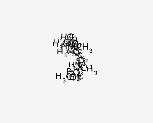 COc1c(F)cc(C(C)Nc2cccc(-c3cc(C)c(C(=O)N[C@@H](C)C(=O)O)c(C)c3)c2)cc1F